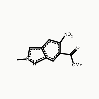 COC(=O)c1cc2nn(C)cc2cc1[N+](=O)[O-]